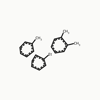 CCc1ccccc1.Cc1ccccc1.Cc1ccccc1C